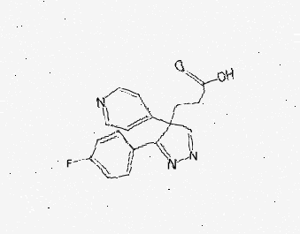 O=C(O)CCC1(c2ccncc2)C=NN=C1c1ccc(F)cc1